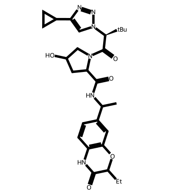 CCC1Oc2cc(C(C)NC(=O)C3CC(O)CN3C(=O)[C@@H](n3cc(C4CC4)nn3)C(C)(C)C)ccc2NC1=O